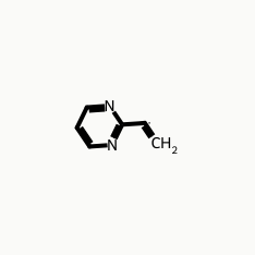 C=[C]c1ncccn1